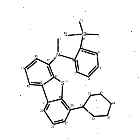 CN(c1ccccc1[Si](C)(C)C)c1cccc2c1sc1c(C3CCCCC3)cccc12